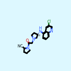 N#CC1CCCN1C(=O)CN1CC[C@H](Nc2cccc3ncc(Cl)cc23)C1